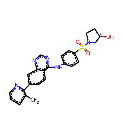 O=S(=O)(c1ccc(Nc2ncnc3cc(-c4ncccc4C(F)(F)F)ccc23)cc1)N1CC[C@@H](O)C1